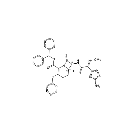 CON=C(C(=O)N[C@@H]1C(=O)N2C(C(=O)OC(c3ccccc3)c3ccccc3)=C(Sc3ccncc3)CC[C@H]12)c1nsc(N)n1